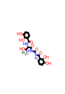 C[C@@H](O)[C@H](NC(=O)c1cccc(O)c1O)C(=O)NC(=O)NC(=O)c1cccc(O)c1O